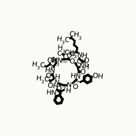 CCC(C)[C@@H]1NC(=O)C(C(C)O)NC(=O)[C@@H](Cc2c[nH]c3ccccc23)NC(=O)[C@@H](Cc2ccc(O)cc2)NC(=O)C(NC(=O)CNC(=O)CCCC(C)C)C(C)OC(=O)[C@H](C(C)C)NC1=O